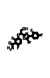 NC(=O)c1c(F)ccc(OC(CO)c2nc(-c3ccc(F)cc3F)c(Br)o2)c1F